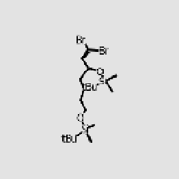 CC(C)(C)[Si](C)(C)OCCCCC(C=C(Br)Br)O[Si](C)(C)C(C)(C)C